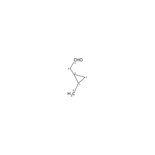 CC1CC1CC=O